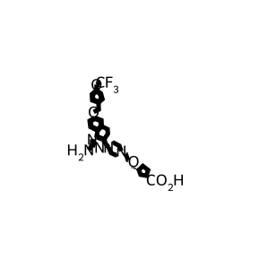 Nc1nc2c(c(N3CCN(CCOC[C@@H]4CC[C@H](C(=O)O)C4)CC3)n1)CCc1cc(OCc3ccc(OC(F)(F)F)cc3)ccc1-2